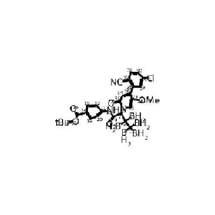 BC(B)(B)C(B)(B)C(C(=O)Nc1ccc(C(=O)OC(C)(C)C)cc1)n1cc(OC)c(-c2cc(Cl)ccc2C#N)cc1=O